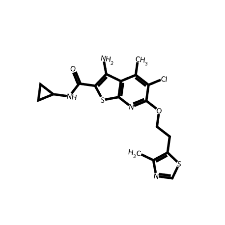 Cc1ncsc1CCOc1nc2sc(C(=O)NC3CC3)c(N)c2c(C)c1Cl